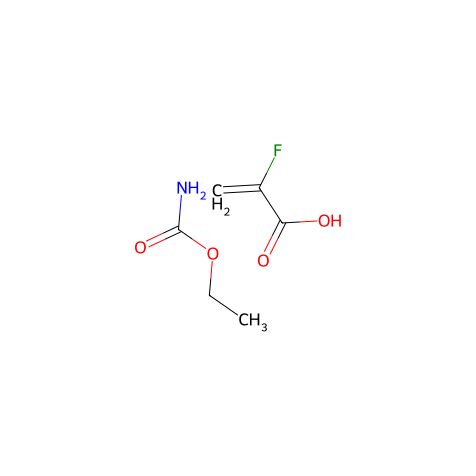 C=C(F)C(=O)O.CCOC(N)=O